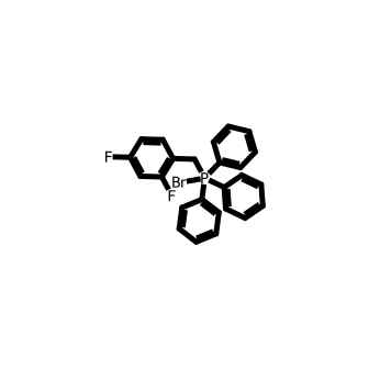 Fc1ccc(CP(Br)(c2ccccc2)(c2ccccc2)c2ccccc2)c(F)c1